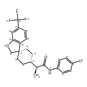 C[C@H](C(=O)Nc1ccc(Cl)cc1)[C@H]1CC[C@]2(CC1)COc1nc(C(F)(F)F)ccc12